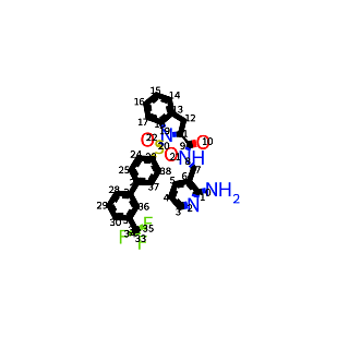 Nc1ncccc1CNC(=O)[C@@H]1Cc2ccccc2N1S(=O)(=O)c1ccc(-c2cccc(C(F)(F)F)c2)cc1